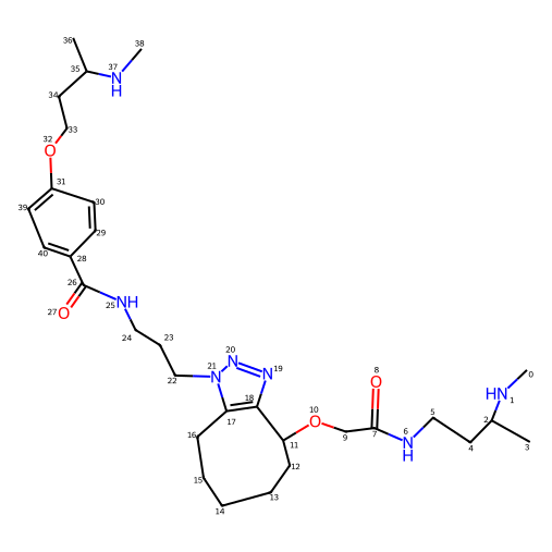 CNC(C)CCNC(=O)COC1CCCCCc2c1nnn2CCCNC(=O)c1ccc(OCCC(C)NC)cc1